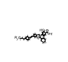 CCCCc1ccc(C#Cc2ccc(CN(C(=O)C3CCCCC3)c3ccc(C(=O)O)c(O)c3)cc2)cc1